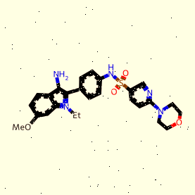 CCn1c(-c2ccc(NS(=O)(=O)c3ccc(N4CCOCC4)nc3)cc2)c(N)c2ccc(OC)cc21